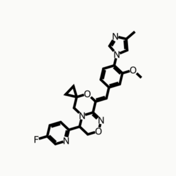 COc1cc(/C=C2\OC3(CC3)CN3C2=NOCC3c2ccc(F)cn2)ccc1-n1cnc(C)c1